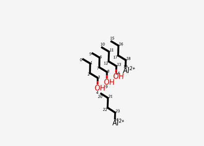 CCCCO.CCCCO.CCCCO.CCC[CH2][Al+2].CCC[CH2][Al+2]